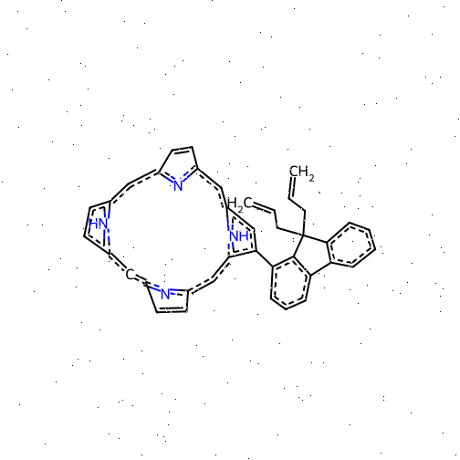 C=CCC1(CC=C)c2ccccc2-c2cccc(-c3cc4cc5nc(cc6ccc(cc7nc(cc3[nH]4)C=C7)[nH]6)C=C5)c21